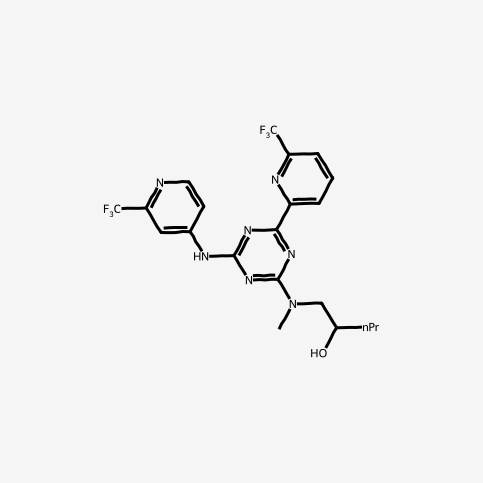 CCCC(O)CN(C)c1nc(Nc2ccnc(C(F)(F)F)c2)nc(-c2cccc(C(F)(F)F)n2)n1